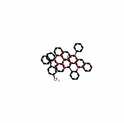 N#Cc1c(-c2ccccc2N(c2ccccc2)c2ccccc2)c(-c2ccccc2N(c2ccccc2)c2ccccc2)nc(-n2c3ccccc3c3ccc(C(F)(F)F)cc32)c1-c1ccccc1N(c1ccccc1)c1ccccc1